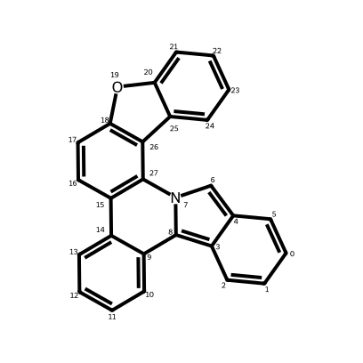 c1ccc2c(c1)cn1c2c2ccccc2c2ccc3oc4ccccc4c3c21